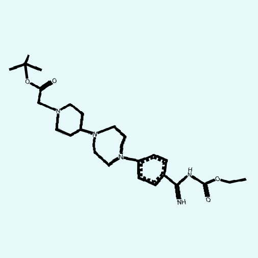 CCOC(=O)NC(=N)c1ccc(N2CCN(C3CCN(CC(=O)OC(C)(C)C)CC3)CC2)cc1